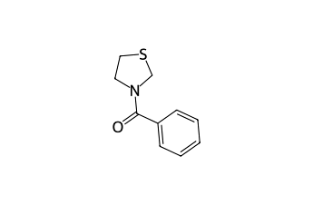 O=C(c1ccccc1)N1CCSC1